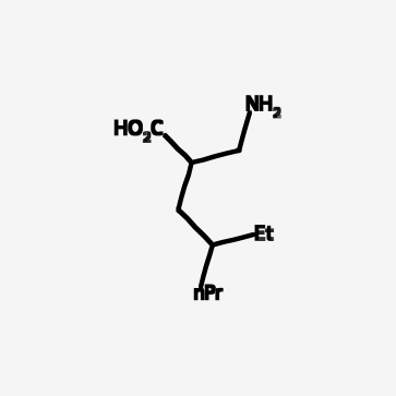 CCCC(CC)CC(CN)C(=O)O